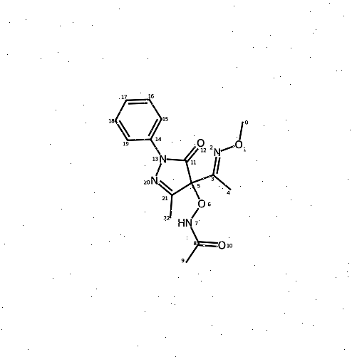 CON=C(C)C1(ONC(C)=O)C(=O)N(c2ccccc2)N=C1C